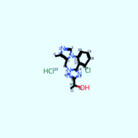 Cc1ncn2c1Cn1nc(C(C)O)nc1-c1c(Cl)cccc1-2.Cl